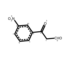 O=CCC(=O)c1cccc([N+](=O)[O-])c1